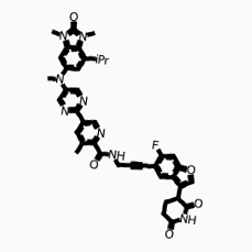 Cc1cc(-c2ncc(N(C)c3cc(C(C)C)c4c(c3)n(C)c(=O)n4C)cn2)cnc1C(=O)NCC#Cc1cc2c(C3CCC(=O)NC3=O)coc2cc1F